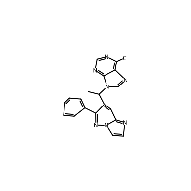 CC(c1cc2nccn2nc1-c1ccccc1)n1cnc2c(Cl)ncnc21